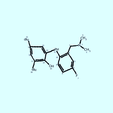 CN(C)Cc1cc(F)ccc1Pc1cc(C(C)(C)C)cc(C(C)(C)C)c1O